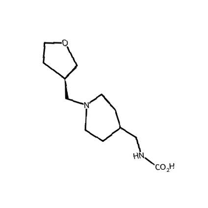 O=C(O)NCC1CCN(C[C@H]2CCOC2)CC1